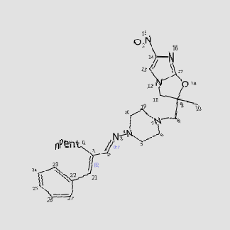 CCCCCC(/C=N/N1CCN(CC2(C)Cn3cc([N+](=O)[O-])nc3O2)CC1)=C\c1ccccc1